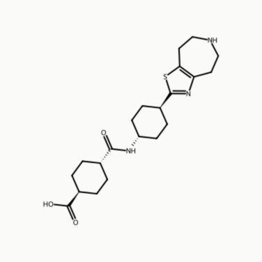 O=C(O)[C@H]1CC[C@H](C(=O)N[C@H]2CC[C@H](c3nc4c(s3)CCNCC4)CC2)CC1